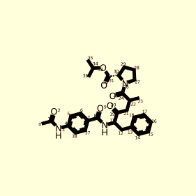 CC(=O)Nc1ccc(C(=O)NC(Cc2ccccc2)C(=O)CC(C)C(=O)N2CCC[C@H]2C(=O)OC(C)C)cc1